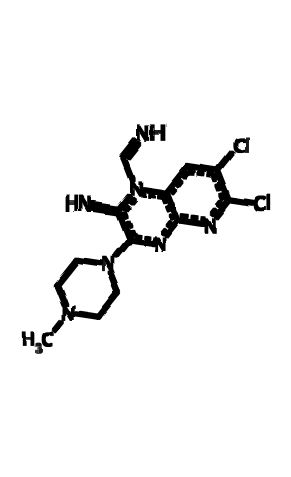 CN1CCN(c2nc3nc(Cl)c(Cl)cc3n(C=N)c2=N)CC1